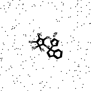 CC1=C(C)C(C)(C)[C]([Ti+2][C]2(n3cccc3)C=Cc3ccccc32)=C1C.[Cl-].[Cl-]